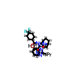 Cc1nnc(C(C)C)n1C1CC2CCC(C1)N2C[C@H](NC(=O)C1CCC(F)(F)CC1)c1ccccc1